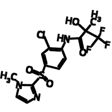 Cn1ccnc1S(=O)(=O)c1ccc(NC(=O)C(C)(O)C(F)(F)F)c(Cl)c1